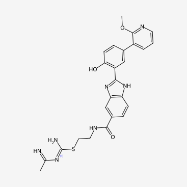 COc1ncccc1-c1ccc(O)c(-c2nc3cc(C(=O)NCCS/C(N)=N/C(C)=N)ccc3[nH]2)c1